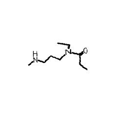 CCC(=O)N(CC)CCCNC